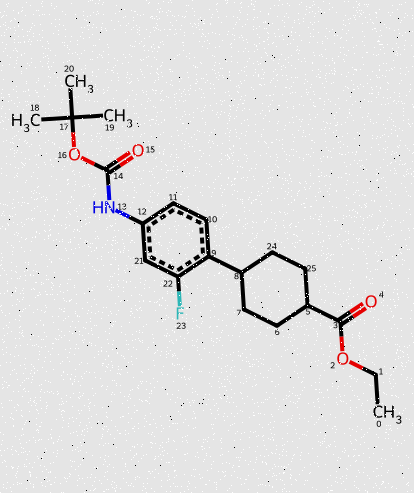 CCOC(=O)C1CCC(c2ccc(NC(=O)OC(C)(C)C)cc2F)CC1